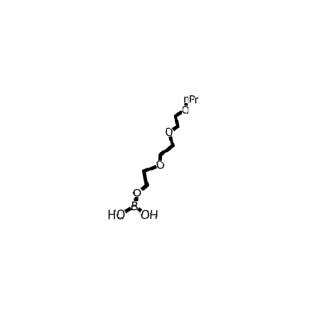 CCCOCCOCCOCCOB(O)O